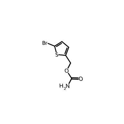 NC(=O)OCc1ccc(Br)s1